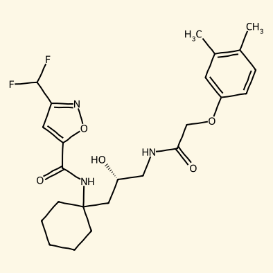 Cc1ccc(OCC(=O)NC[C@@H](O)CC2(NC(=O)c3cc(C(F)F)no3)CCCCC2)cc1C